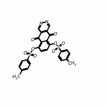 Cc1ccc(S(=O)(=O)Oc2ccc(OS(=O)(=O)c3ccc(C)cc3)c3c2C(=O)c2cnncc2C3=O)cc1